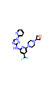 FC(F)c1cc(Nc2ncn(-c3ccccn3)n2)nc(N2CCN(C3COC3)CC2)c1